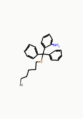 CC(=O)CCCCCSC(c1ccccc1)(c1ccccc1)c1ccccc1N